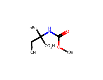 CCCCC(CC#N)(NC(=O)OC(C)(C)C)C(=O)O